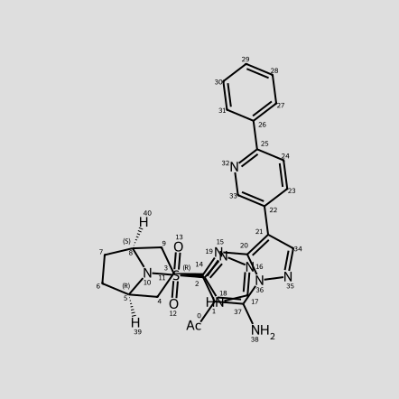 CC(=O)c1c([C@H]2C[C@H]3CC[C@@H](C2)N3S(=O)(=O)c2nnc[nH]2)nc2c(-c3ccc(-c4ccccc4)nc3)cnn2c1N